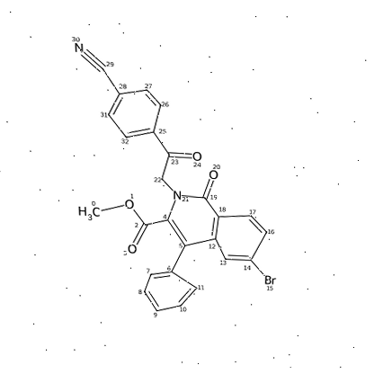 COC(=O)c1c(-c2ccccc2)c2cc(Br)ccc2c(=O)n1CC(=O)c1ccc(C#N)cc1